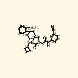 CN(C)[C@]1(c2ccccc2)CC[C@@]2(CC1)CN(CC(=O)Nc1nccc(C#N)n1)C(=O)N2CC1CCC1